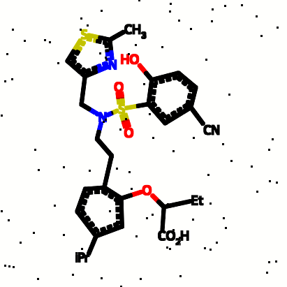 CCC(Oc1cc(C(C)C)ccc1CCN(Cc1csc(C)n1)S(=O)(=O)c1cc(C#N)ccc1O)C(=O)O